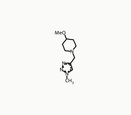 COC1CCN(Cc2cn(C)nn2)CC1